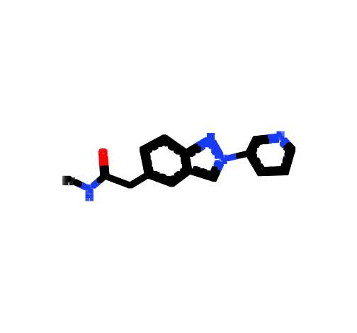 CC(C)NC(=O)Cc1ccc2nn(-c3cccnc3)cc2c1